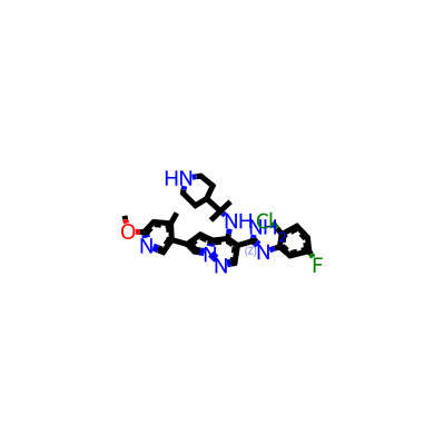 COc1cc(C)c(-c2cc3c(NC(C)(C)C4CCNCC4)c(/C(N)=N/c4cc(F)ccc4Cl)cnn3c2)cn1